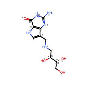 Nc1nc2c(CNC[C@H](O)[C@H](O)CO)c[nH]c2c(=O)[nH]1